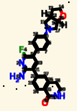 Nc1nc(F)c(-c2ccc(N3C[C@@H]4CCO[C@@H]4C3)cc2)cc1-c1ccc2c(c1)CCNC2=O